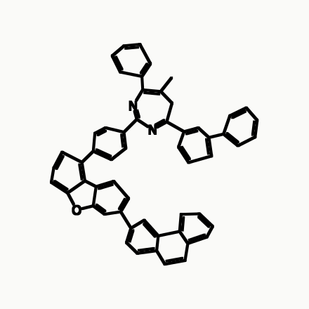 CC1=C(c2ccccc2)N=C(c2ccc(-c3cccc4oc5cc(-c6ccc7ccc8ccccc8c7c6)ccc5c34)cc2)N=C(c2cccc(-c3ccccc3)c2)C1